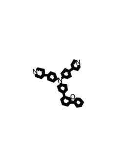 c1ccc2c(c1)oc1c(-c3ccc(N(c4ccc(-c5ccncc5)cc4)c4ccc(-c5ccncc5)cc4)cc3)cccc12